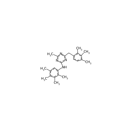 Cc1nc(Cc2ccc(C)c(C)c2C)nc(Nc2cc(C)c(C)c(C)c2C)n1